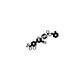 Cc1ccccc1COC(=O)N1CCN(c2ncc(-c3ccc(C(=O)N(C)C)c(Cl)c3)cc2C#N)CC1